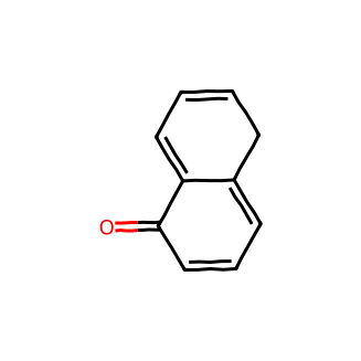 O=C1C=CC=C2CC=CC=C12